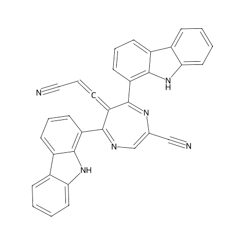 N#CC=C=C1C(c2cccc3c2[nH]c2ccccc23)=NC=C(C#N)N=C1c1cccc2c1[nH]c1ccccc12